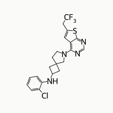 FC(F)(F)Cc1cc2c(N3CCC4(CC(Nc5ccccc5Cl)C4)C3)ncnc2s1